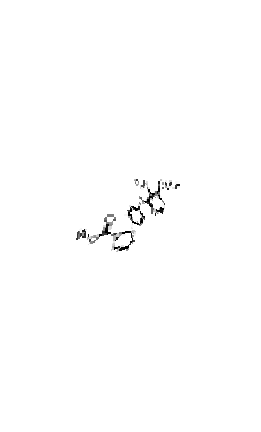 COc1ncnc(Oc2ccc([C@@H]3CCCN3C(=O)OC(C)(C)C)cc2)c1[N+](=O)[O-]